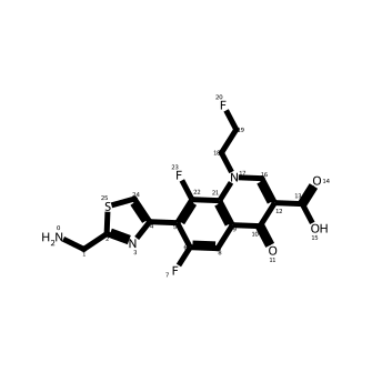 NCc1nc(-c2c(F)cc3c(=O)c(C(=O)O)cn(CCF)c3c2F)cs1